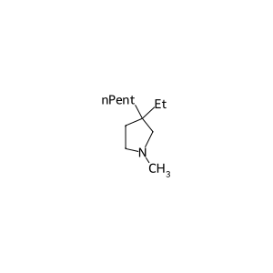 CCCCCC1(CC)CCN(C)C1